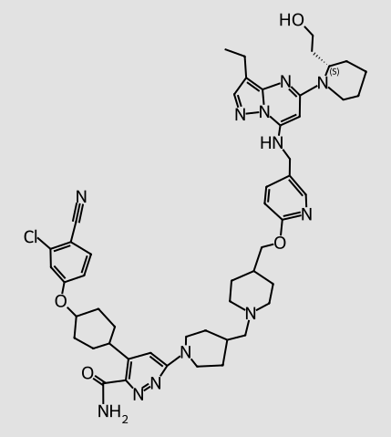 CCc1cnn2c(NCc3ccc(OCC4CCN(CC5CCN(c6cc(C7CCC(Oc8ccc(C#N)c(Cl)c8)CC7)c(C(N)=O)nn6)CC5)CC4)nc3)cc(N3CCCC[C@H]3CCO)nc12